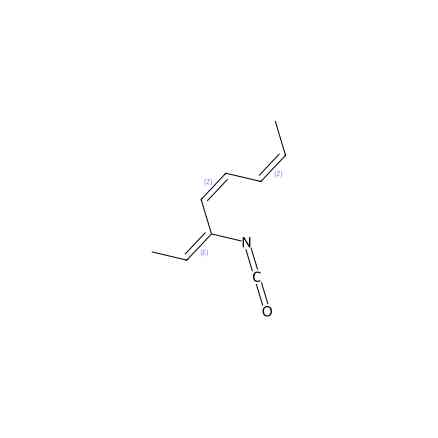 C\C=C/C=C\C(=C/C)N=C=O